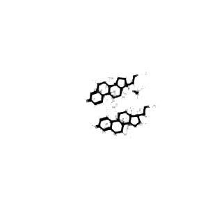 CCCC(=O)O[C@]1(C(=O)COC(C)=O)CC[C@H]2[C@@H]3C[C@H](F)C4=CC(=O)C=C[C@]4(C)[C@@]3(F)[C@@H](O)C[C@@]21C.C[C@@H]1C[C@H]2[C@H]3[C@H]([C@@H](O)C[C@]2(C)[C@@]1(O)C(=O)CO)[C@@]1(C)C=CC(=O)C=C1C[C@H]3Cl